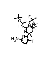 CN=S1(=O)CC(C)(c2nc(N)ccc2F)N=C(NC(=O)OC(C)(C)C)N1CC(F)(F)F